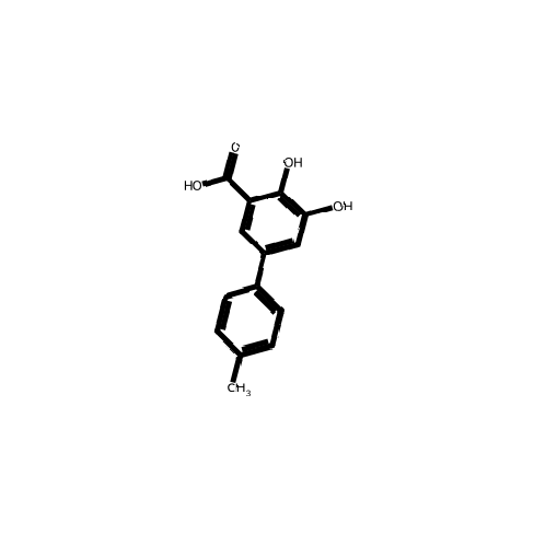 Cc1ccc(-c2cc(O)c(O)c(C(=O)O)c2)cc1